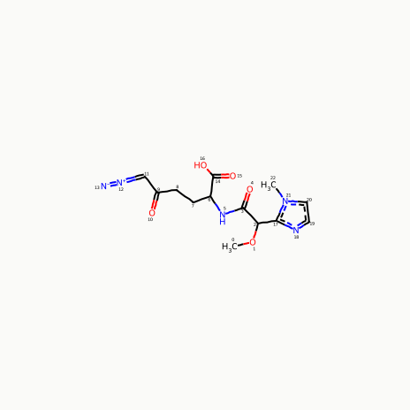 COC(C(=O)NC(CCC(=O)C=[N+]=[N-])C(=O)O)c1nccn1C